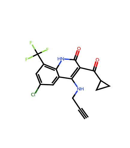 C#CCNc1c(C(=O)C2CC2)c(=O)[nH]c2c(C(F)(F)F)cc(Cl)cc12